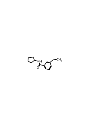 CCc1cccc(C(=O)NC2CCCC2)c1